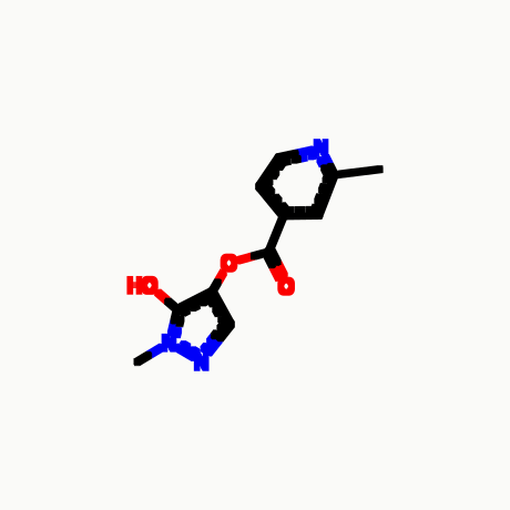 Cc1cc(C(=O)Oc2cnn(C)c2O)ccn1